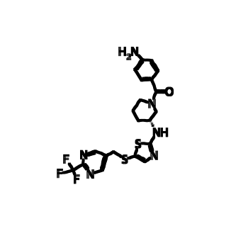 Nc1ccc(C(=O)N2CCC[C@@H](Nc3ncc(SCc4cnc(C(F)(F)F)nc4)s3)C2)cc1